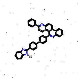 CCn1c(-c2ccc(-c3ccc(-c4nc5ccccc5c5ccc6nc(-c7ccccc7)ccc6c45)cc3)cc2)nc2ccccc21